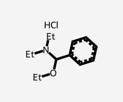 CCOC(c1ccccc1)N(CC)CC.Cl